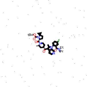 CCN(C(=O)c1cc(F)ccc1-n1c(C)c(C(=O)[C@H]2CCN(C(=O)[C@@H]3CCC4(CC4)N3C(=O)OC(C)(C)C)[C@H](C)C2)c2ccncc21)C(C)C